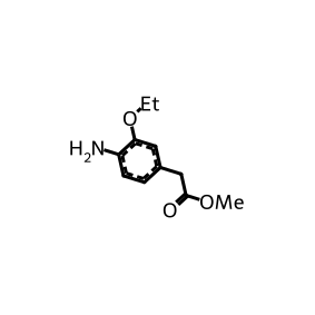 CCOc1cc(CC(=O)OC)ccc1N